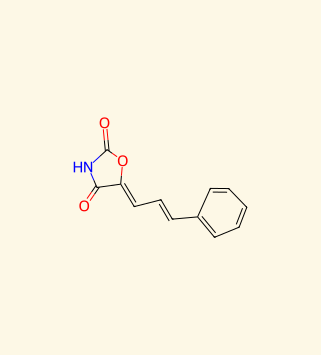 O=C1NC(=O)C(=CC=Cc2ccccc2)O1